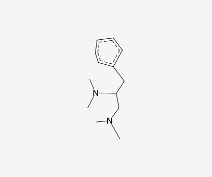 CN(C)CC(Cc1ccccc1)N(C)C